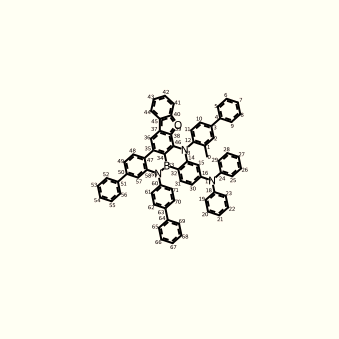 Cc1cc(-c2ccccc2)ccc1N1c2cc(N(c3ccccc3)c3ccccc3)ccc2B2c3c(cc4c(oc5ccccc54)c31)-c1ccc(-c3ccccc3)cc1N2c1ccc(-c2ccccc2)cc1